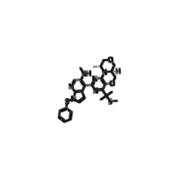 CNc1cnc2c(ccn2Sc2ccccc2)c1-c1nc2c(c(C(C)(C)SC)n1)OC[C@@H]1COC[C@@H](C)N21